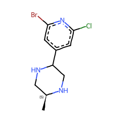 C[C@H]1CNC(c2cc(Cl)nc(Br)c2)CN1